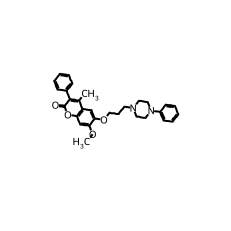 COc1cc2oc(=O)c(-c3ccccc3)c(C)c2cc1OCCCN1CCN(c2ccccc2)CC1